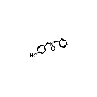 [O-]/[N+](=C\c1ccccc1)Cc1ccc(O)cc1